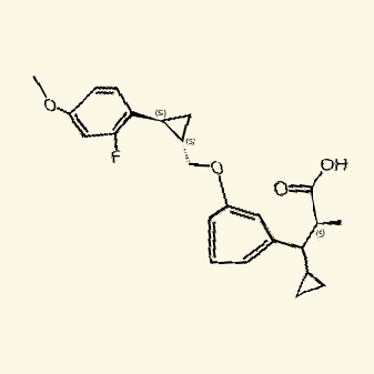 COc1ccc([C@H]2C[C@@H]2COc2cccc(C(C3CC3)[C@H](C)C(=O)O)c2)c(F)c1